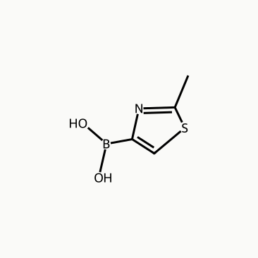 Cc1nc(B(O)O)cs1